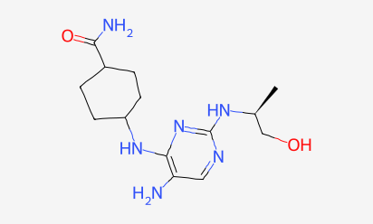 C[C@@H](CO)Nc1ncc(N)c(NC2CCC(C(N)=O)CC2)n1